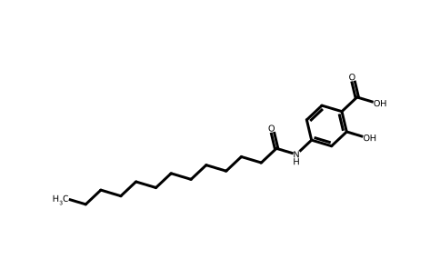 CCCCCCCCCCCCC(=O)Nc1ccc(C(=O)O)c(O)c1